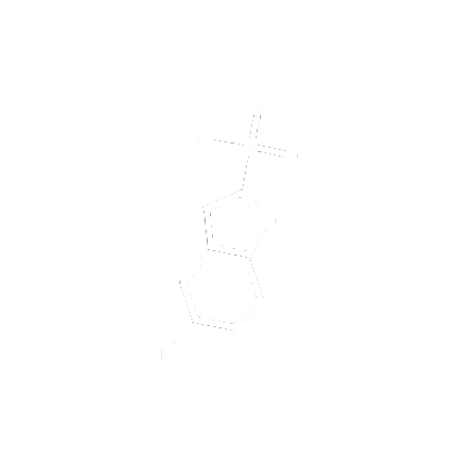 O=S(=O)(Cl)c1cc2cc(F)ccc2o1